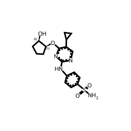 NS(=O)(=O)c1ccc(Nc2ncc(C3CC3)c(O[C@H]3CCC[C@H]3O)n2)cc1